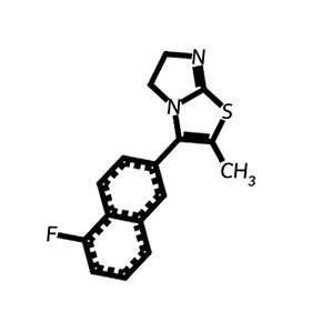 CC1=C(c2ccc3c(F)cccc3c2)N2CCN=C2S1